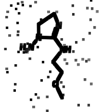 COCCNC1=NCCN1N